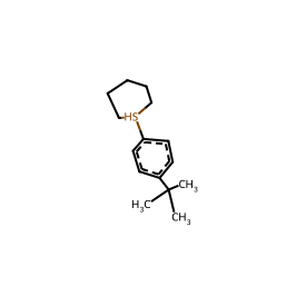 CC(C)(C)c1ccc([SH]2CCCCC2)cc1